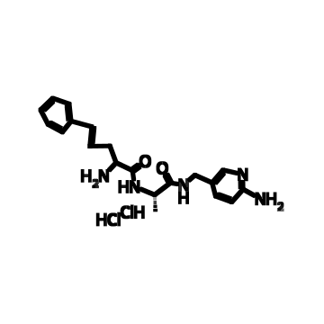 C[C@H](NC(=O)C(N)CC=Cc1ccccc1)C(=O)NCc1ccc(N)nc1.Cl.Cl